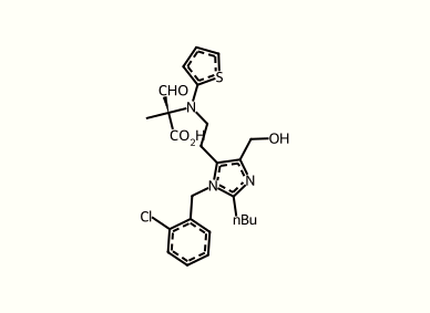 CCCCc1nc(CO)c(CCN(c2cccs2)[C@](C)(C=O)C(=O)O)n1Cc1ccccc1Cl